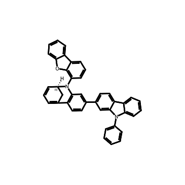 C1=C[C@@H]2CC(=C1)c1ccc(-c3ccc4c5ccccc5n(-c5ccccc5)c4c3)cc1N2c1cccc2c1oc1ccccc12